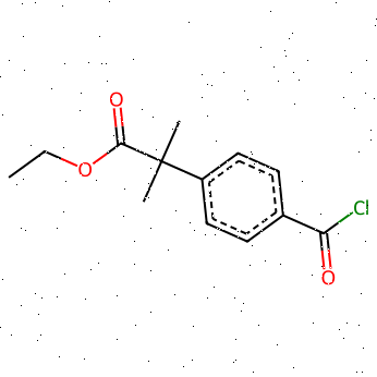 CCOC(=O)C(C)(C)c1ccc(C(=O)Cl)cc1